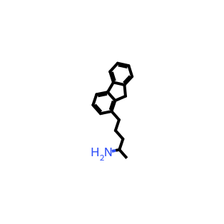 CC(N)CCCc1cccc2c1Cc1ccccc1-2